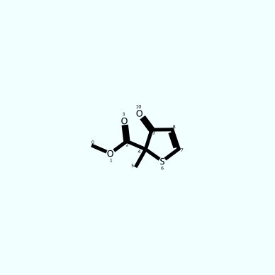 COC(=O)C1(C)SC=CC1=O